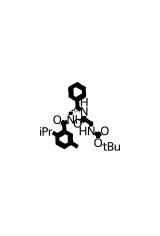 Cc1ccc(C(C)C)c(C(=O)NC[C@@H](NC(=O)CNC(=O)OC(C)(C)C)c2ccccc2)c1